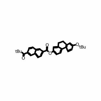 CC(C)(C)Oc1ccc2c(c1)CCc1cc(OC(=O)c3ccc4cc(C(=O)C(C)(C)C)ccc4c3)ccc1-2